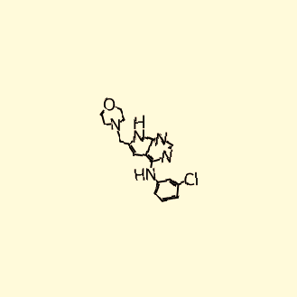 Clc1cccc(Nc2ncnc3[nH]c(CN4CCOCC4)cc23)c1